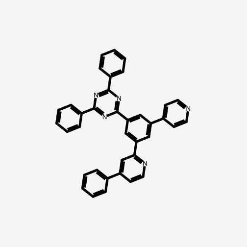 c1ccc(-c2ccnc(-c3cc(-c4ccncc4)cc(-c4nc(-c5ccccc5)nc(-c5ccccc5)n4)c3)c2)cc1